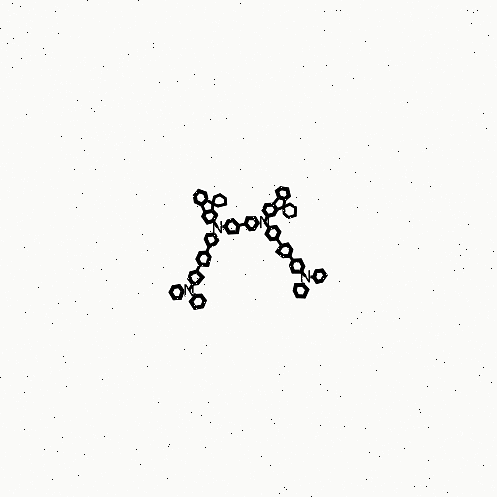 c1ccc(N(c2ccccc2)c2ccc(-c3ccc(-c4ccc(N(c5ccc(-c6ccc(N(c7ccc(-c8ccc(-c9ccc(N(c%10ccccc%10)c%10ccccc%10)cc9)cc8)cc7)c7ccc8c(c7)C7(CCCCC7)c7ccccc7-8)cc6)cc5)c5ccc6c(c5)C5(CCCCC5)c5ccccc5-6)cc4)cc3)cc2)cc1